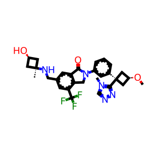 CO[C@H]1C[C@](c2cccc(N3Cc4c(cc(CN[C@]5(C)C[C@H](O)C5)cc4C(F)(F)F)C3=O)c2)(c2nncn2C)C1